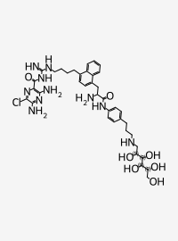 N=C(NCCCCc1ccc(CC(N)C(=O)Nc2ccc(CCCNC[C@H](O)[C@@H](O)[C@H](O)[C@H](O)CO)cc2)c2ccccc12)NC(=O)c1nc(Cl)c(N)nc1N